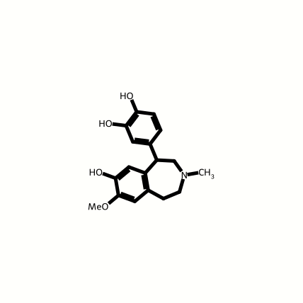 COc1cc2c(cc1O)C(c1ccc(O)c(O)c1)CN(C)CC2